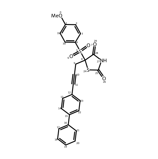 COc1ccc(S(=O)(=O)C2(CC#Cc3ccc(-c4ccccc4)cc3)SC(=O)NC2=O)cc1